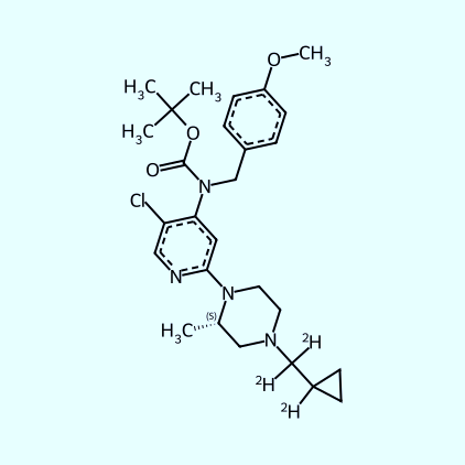 [2H]C1(C([2H])([2H])N2CCN(c3cc(N(Cc4ccc(OC)cc4)C(=O)OC(C)(C)C)c(Cl)cn3)[C@@H](C)C2)CC1